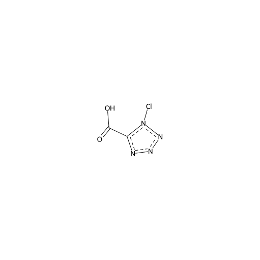 O=C(O)c1nnnn1Cl